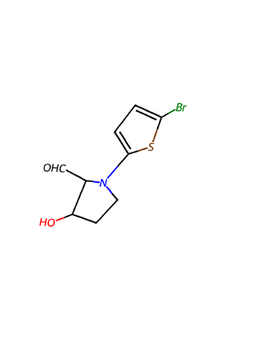 O=CC1C(O)CCN1c1ccc(Br)s1